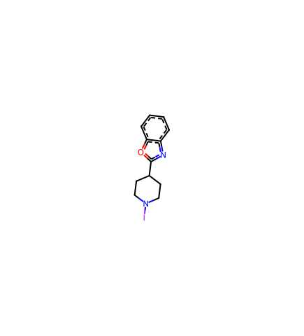 IN1CCC(c2nc3ccccc3o2)CC1